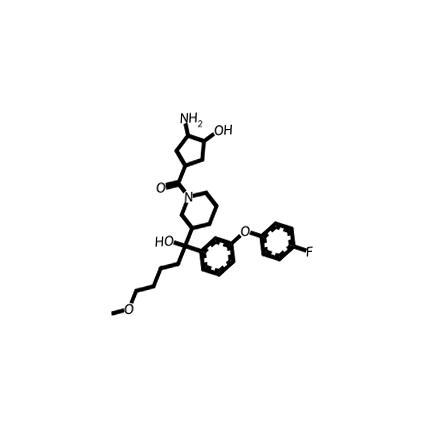 COCCCCC(O)(c1cccc(Oc2ccc(F)cc2)c1)C1CCCN(C(=O)C2CC(N)C(O)C2)C1